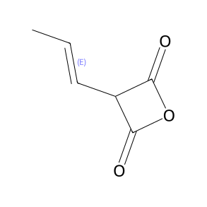 C/C=C/C1C(=O)OC1=O